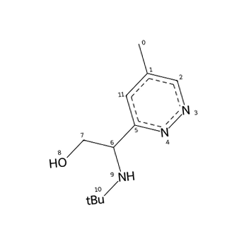 Cc1cnnc(C(CO)NC(C)(C)C)c1